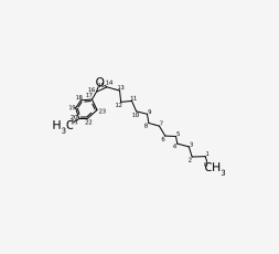 CCCCCCCCCCCCCCC1OC1c1ccc(C)cc1